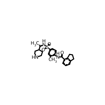 Cc1cc(S(=O)(=O)N[C@H](C)C2CCNCC2)ccc1NC(=O)c1cccc2c1CCC2